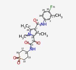 Cc1cc(NC(=O)c2c(C)c(C(=O)C(=O)NC3CCS(=O)(=O)CC3)n(C)c2C)ccc1F